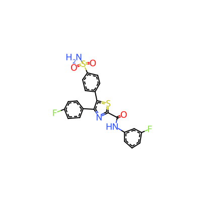 NS(=O)(=O)c1ccc(-c2sc(C(=O)Nc3cccc(F)c3)nc2-c2ccc(F)cc2)cc1